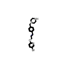 Brc1ccc(OC/C=C/c2ccc(CN3CCNCC3)cc2)nc1